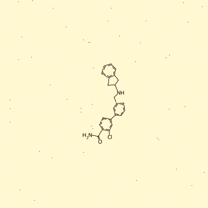 NC(=O)c1ccc(-c2cccc(CNC3Cc4ccccc4C3)c2)cc1Cl